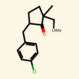 COCC1(C)CCC(Cc2ccc(Cl)cc2)C1=O